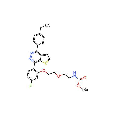 CC(C)(C)OC(=O)NCCOCCOc1cc(F)ccc1-c1nnc(-c2ccc(CC#N)cc2)c2ccsc12